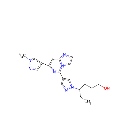 CCC(CCCO)n1cc(-c2nc(-c3cnn(C)c3)cc3nccn23)cn1